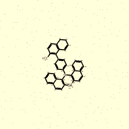 Cc1ccc2c(c1-c1ccc(B(c3c(C)ccc4ccccc34)c3c(C)ccc4ccccc34)cc1)C=CCC2